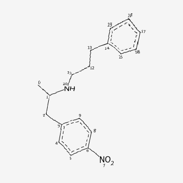 CC(Cc1ccc([N+](=O)[O-])cc1)NCCCc1ccccc1